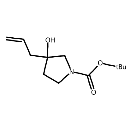 C=CCC1(O)CCN(C(=O)OC(C)(C)C)C1